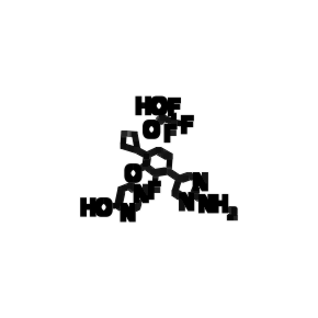 Nc1ncc(-c2ccc(C3CCC3)c(Oc3cc(O)ncn3)c2F)cn1.O=C(O)C(F)(F)F